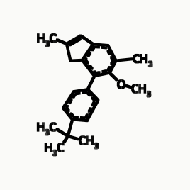 COc1c(C)cc2c(c1-c1ccc(C(C)(C)C)cc1)CC(C)=C2